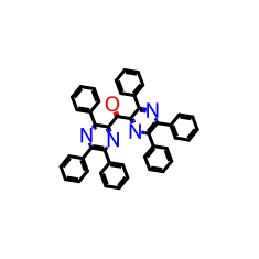 O=C(c1nc(-c2ccccc2)c(-c2ccccc2)nc1-c1ccccc1)c1nc(-c2ccccc2)c(-c2ccccc2)nc1-c1ccccc1